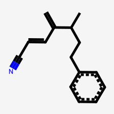 C=C(/C=C/C#N)C(C)CCc1ccccc1